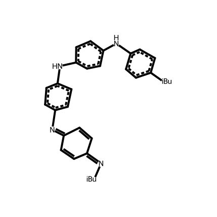 CCC(C)N=C1C=CC(=Nc2ccc(Nc3ccc(Nc4ccc(C(C)CC)cc4)cc3)cc2)C=C1